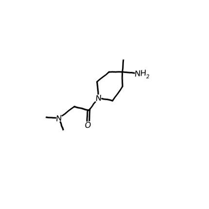 CN(C)CC(=O)N1CCC(C)(N)CC1